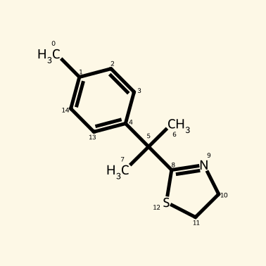 Cc1ccc(C(C)(C)C2=NCCS2)cc1